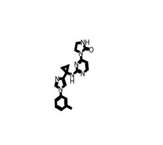 Cc1cccc(-n2cnc(C3(Nc4nccc(N5CCNC5=O)n4)CC3)c2)c1